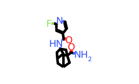 NC(=O)C12CC3CC(CC(NC(=O)c4ccnc(F)c4)(C3)C1)C2